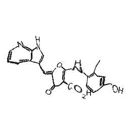 Cc1cc(O)ccc1NC1=C(C(=O)O)C(=O)C(=Cc2c[nH]c3ncccc23)O1